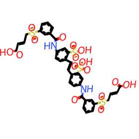 O=C(O)C=CCS(=O)(=O)c1cccc(C(=O)Nc2ccc(C=Cc3ccc(NC(=O)c4cccc(S(=O)(=O)CC=CC(=O)O)c4)cc3S(=O)(=O)O)c(S(=O)(=O)O)c2)c1